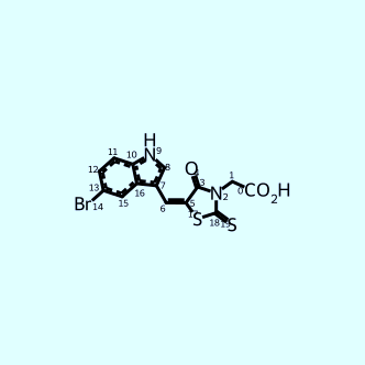 O=C(O)CN1C(=O)C(=Cc2c[nH]c3ccc(Br)cc23)SC1=S